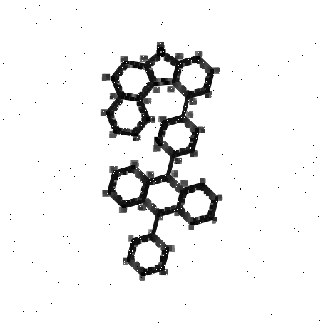 c1ccc(-c2c3ccccc3c(-c3ccc(-c4cccc5oc6ccc7ccccc7c6c45)cn3)c3ccccc23)cc1